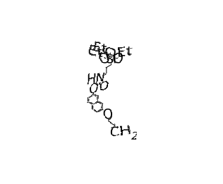 C=CCOc1ccc2ccc(OC(=O)NCCC[Si](OCC)(OCC)OCC)cc2c1